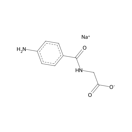 Nc1ccc(C(=O)NCC(=O)[O-])cc1.[Na+]